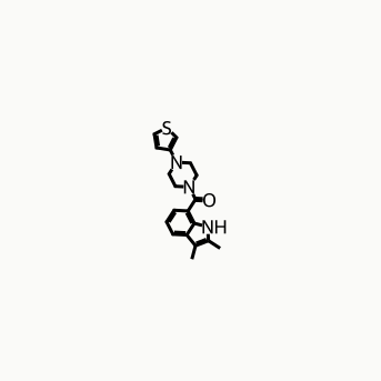 Cc1[nH]c2c(C(=O)N3CCN(c4ccsc4)CC3)cccc2c1C